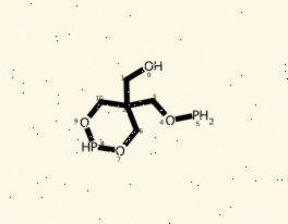 OCC1(COP)COPOC1